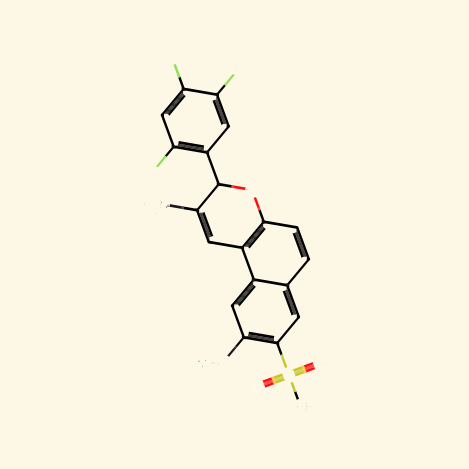 COc1cc2c3c(ccc2cc1S(C)(=O)=O)OC(c1cc(F)c(F)cc1F)C([N+](=O)[O-])=C3